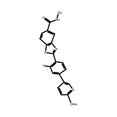 COc1ccc(-c2ccc(-c3nc4cc(C(=O)NO)ccc4o3)c(F)c2)cn1